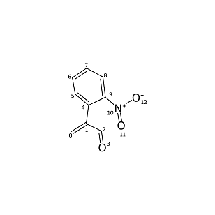 C=C(C=O)c1ccccc1[N+](=O)[O-]